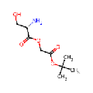 CC(C)(C)OC(=O)COC(=O)[C@@H](N)CO